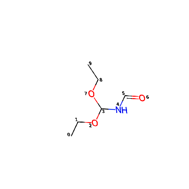 CCOC(NC=O)OCC